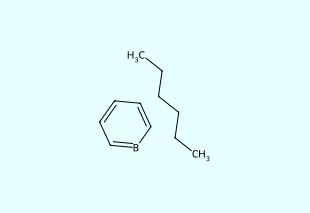 CCCCCC.b1ccccc1